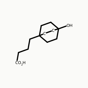 O=C(O)CCCC12CCC(O)(CC1)CC2